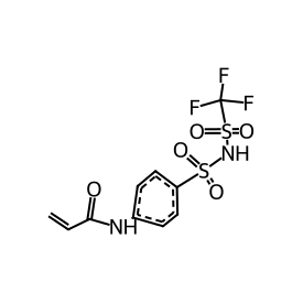 C=CC(=O)Nc1ccc(S(=O)(=O)NS(=O)(=O)C(F)(F)F)cc1